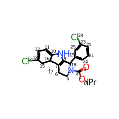 CC(C)OC(=O)N1CCC2=C(NC3=CC=C(Cl)C[C@@]32C)C1c1cccc(Cl)c1